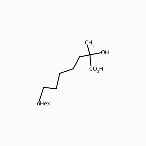 CCCCCCCCCCCC(C)(O)C(=O)O